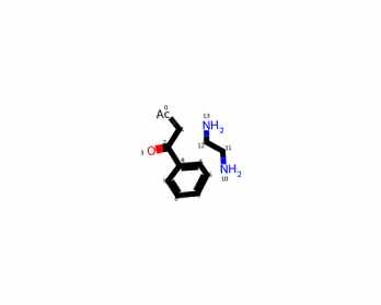 CC(=O)CC(=O)c1ccccc1.NCCN